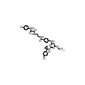 O=C(NCCNC(=O)c1ccc(Nc2nc(NC3(c4ccc(Cl)cc4)CC3)nc(OCC(F)(F)F)n2)cc1)C(=O)Nc1ccc(F)cc1